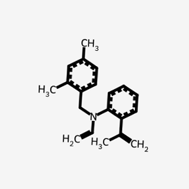 C=CN(Cc1ccc(C)cc1C)c1ccccc1C(=C)C